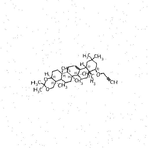 C#CCO[C@@H]1CC(C)(C)C[C@H]2C3=CCC4[C@@]5(C)CC[C@@H]6OC(C)(C)OC[C@]6(C)C5CC[C@@]4(C)[C@]3(C)CC[C@@]12C